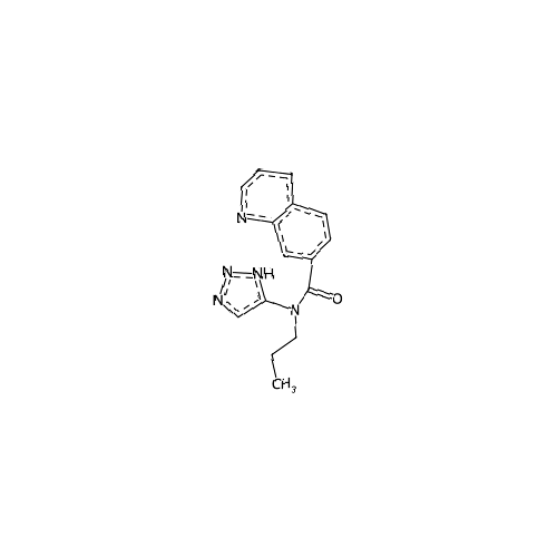 CCCN(C(=O)c1ccc2cccnc2c1)c1cnn[nH]1